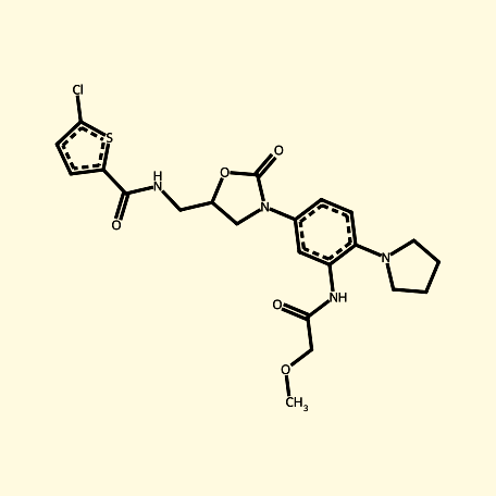 COCC(=O)Nc1cc(N2CC(CNC(=O)c3ccc(Cl)s3)OC2=O)ccc1N1CCCC1